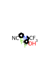 N#Cc1cccc(-n2cc(C(F)(F)F)c3c2[C@H](F)[C@@H](F)[C@@H]3O)c1F